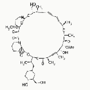 CO[C@H]1C(=O)C(C)C[C@H](C)/C=C/C=C/C=C(\C)[C@@H](CO)C[C@@H]2CC[C@@H](C)C(O)(O2)C(=O)C(=O)N2CCCC[C@H]2C(=O)O[C@H]([C@H](C)C[C@@H]2CC[C@@H](O)[C@H](CO)C2)CC(=O)[C@H](C)/C=C(\C)[C@H]1O